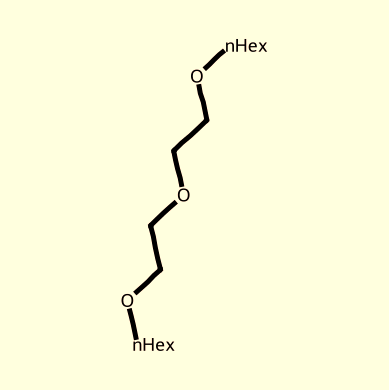 CCCCCCOCCOCCOCCCCCC